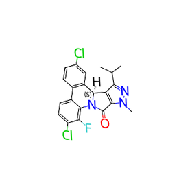 CC(C)c1nn(C)c2c1[C@@H]1c3cc(Cl)ccc3-c3ccc(Cl)c(F)c3N1C2=O